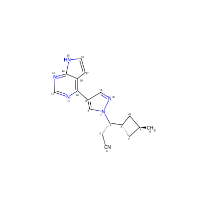 C[C@H]1C[C@H]([C@H](CC#N)n2cc(-c3ncnc4[nH]ccc34)cn2)C1